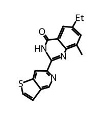 CCc1cc(C)c2nc(-c3cc4sccc4cn3)[nH]c(=O)c2c1